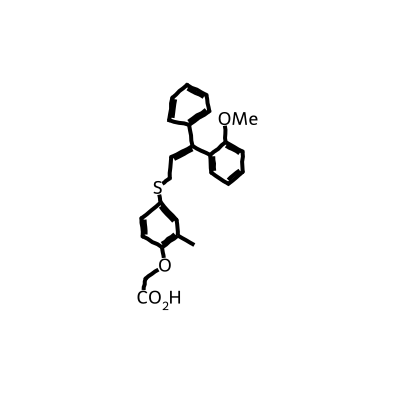 COc1ccccc1/C(=C\CSc1ccc(OCC(=O)O)c(C)c1)c1ccccc1